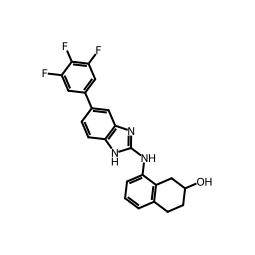 OC1CCc2cccc(Nc3nc4cc(-c5cc(F)c(F)c(F)c5)ccc4[nH]3)c2C1